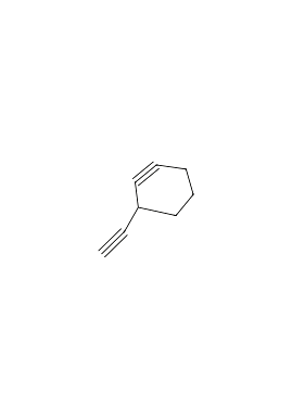 C#CC1C#CCCC1